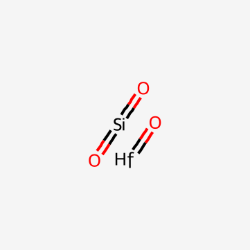 O=[Si]=O.[O]=[Hf]